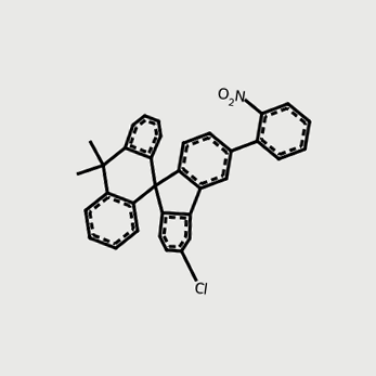 CC1(C)c2ccccc2C2(c3ccc(Cl)cc3-c3cc(-c4ccccc4[N+](=O)[O-])ccc32)c2ccccc21